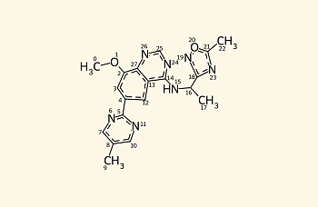 COc1cc(-c2ncc(C)cn2)cc2c(NC(C)c3noc(C)n3)ncnc12